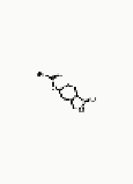 CC(C)C(=O)OC1CCC2C(=O)OCC2C1